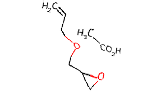 C=CCOCC1CO1.CC(=O)O